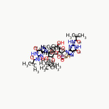 CC(C)C(=O)Nc1nc2c(ncn2[C@@H]2O[C@H](COP(=O)(S)[C@@H]3C(O[Si](C)(C)C(C)(C)C)[C@@H](CO)O[C@H]3n3cnc4c(=O)[nH]c(NC(=O)C(C)C)nc43)C(O[Si](C)(C)C(C)(C)C)[C@H]2O)c(=O)[nH]1